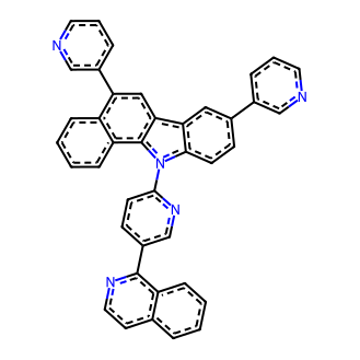 c1cncc(-c2ccc3c(c2)c2cc(-c4cccnc4)c4ccccc4c2n3-c2ccc(-c3nccc4ccccc34)cn2)c1